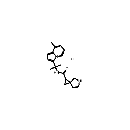 Cc1cccn2c(C(C)(C)NC(=O)C3CC34CCNC4)ncc12.Cl